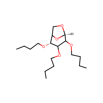 CCCCOC1C(OCCCC)[C@H](OCCCC)C2CO[C@@H]1O2